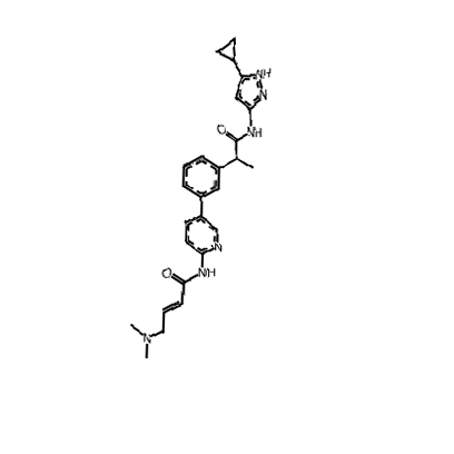 CC(C(=O)Nc1cc(C2CC2)[nH]n1)c1cccc(-c2ccc(NC(=O)C=CCN(C)C)nc2)c1